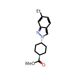 CCc1ccc2cn([C@H]3CC[C@H](C(=O)OC)CC3)nc2c1